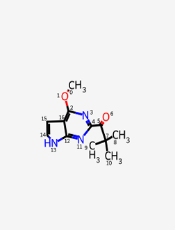 COc1nc(C(=O)C(C)(C)C)nc2[nH]ccc12